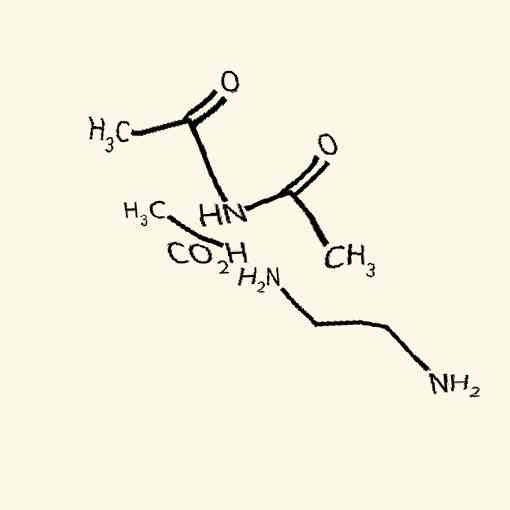 CC(=O)NC(C)=O.CC(=O)O.NCCN